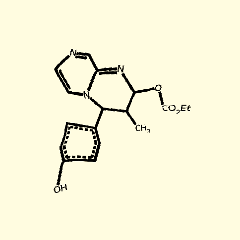 CCOC(=O)OC1N=C2C=NC=CN2C(c2ccc(O)cc2)C1C